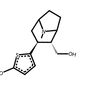 COc1ccc([C@H]2CC3CCC([C@@H]2CO)N3C)s1